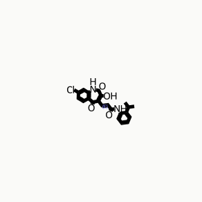 CC(C)c1ccccc1NC(=O)/C=C/c1c(O)c(=O)[nH]c2cc(Cl)ccc2c1=O